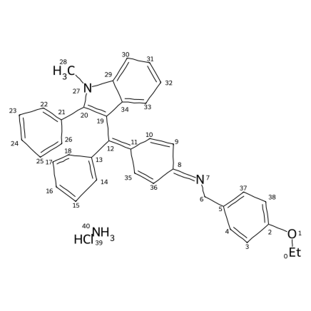 CCOc1ccc(CN=C2C=CC(=C(c3ccccc3)c3c(-c4ccccc4)n(C)c4ccccc34)C=C2)cc1.Cl.N